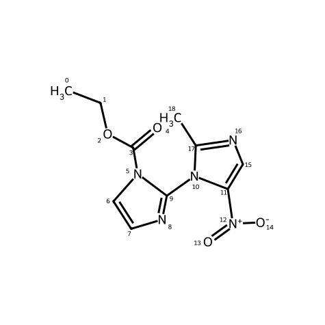 CCOC(=O)n1ccnc1-n1c([N+](=O)[O-])cnc1C